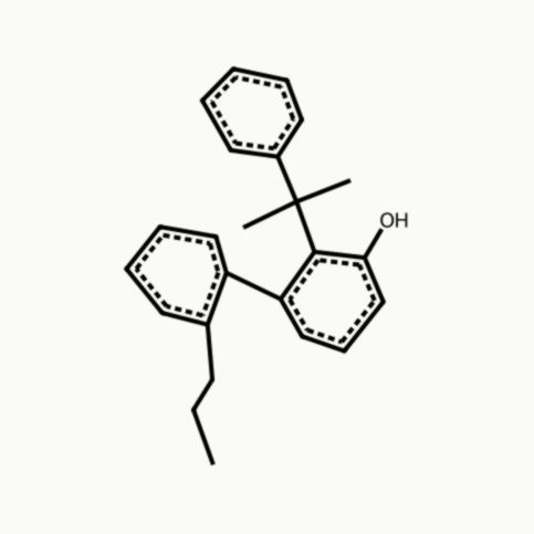 CCCc1ccccc1-c1cccc(O)c1C(C)(C)c1ccccc1